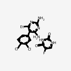 CCc1nc(N)nc(N)c1-c1ccc(Cl)c(Cl)c1.O=c1[nH]cc(F)c(=O)[nH]1